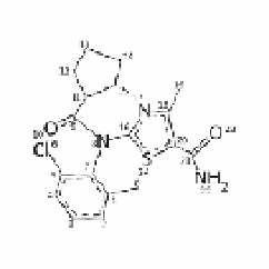 Cc1cccc(Cl)c1N(C(=O)C1CCCC1)c1nc(C)c(C(N)=O)s1